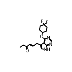 CCC(=O)/C=C/Cc1c[nH]c2ncnc(OC3CCC(F)(F)CC3)c12